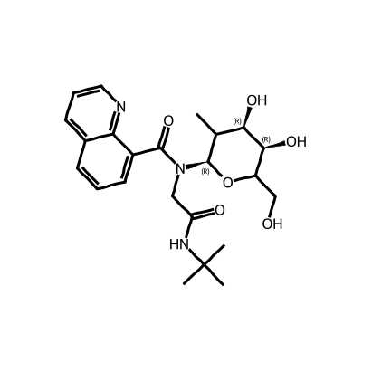 CC1[C@@H](O)[C@@H](O)C(CO)O[C@H]1N(CC(=O)NC(C)(C)C)C(=O)c1cccc2cccnc12